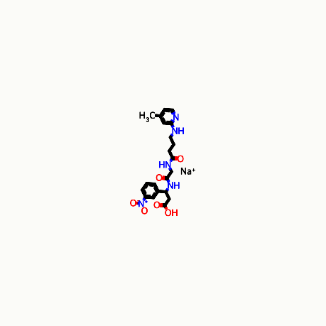 Cc1ccnc(NCCCC(=O)NCC(=O)NC(CC(=O)O)c2cccc([N+](=O)[O-])c2)c1.[Na+]